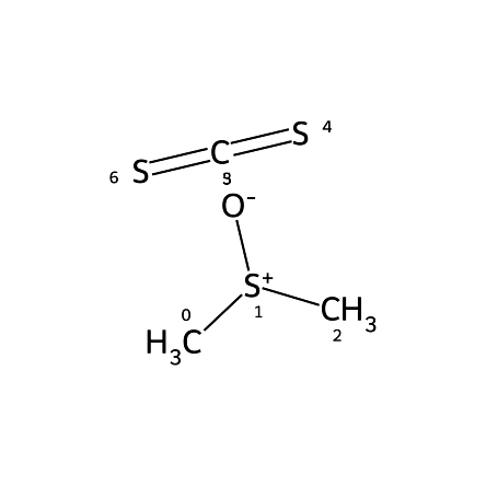 C[S+](C)[O-].S=C=S